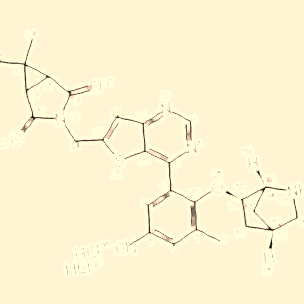 Cc1cc(Cl)cc(-c2ncnc3cc(CN4C(=O)C5C(C4=O)C5(C)C)sc23)c1O[C@@H]1C[C@H]2CN[C@@H]1C2.Cl.Cl